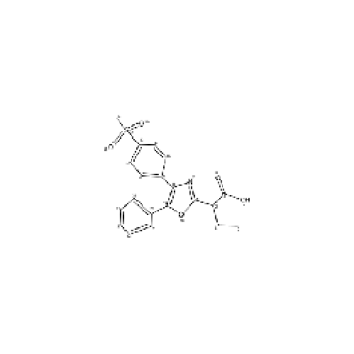 CCC(C(=O)O)c1nc(-c2ccc(S(C)(=O)=O)cc2)c(-c2ccccc2)o1